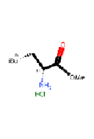 CC[C@@H](C)C[C@@H](N)C(=O)OC.Cl